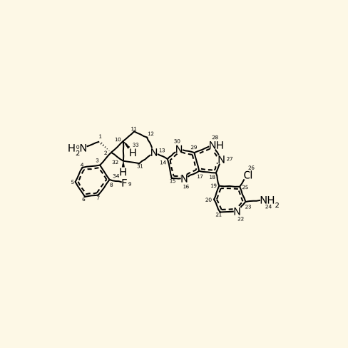 NC[C@]1(c2ccccc2F)[C@@H]2CCN(c3cnc4c(-c5ccnc(N)c5Cl)n[nH]c4n3)C[C@@H]21